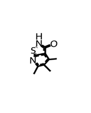 Cc1nc2s[nH]c(=O)c2c(C)c1C